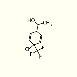 CC(O)C1C=CC(Cl)(C(F)(F)F)C=C1